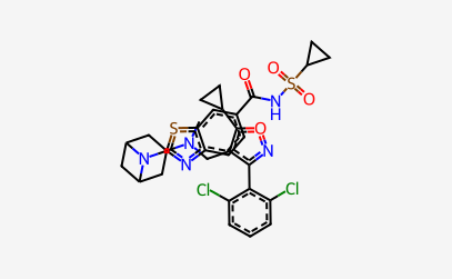 CN(Cc1c(-c2c(Cl)cccc2Cl)noc1C1CC1)C1CC2CC(C1)N2c1nc2ccc(C(=O)NS(=O)(=O)C3CC3)cc2s1